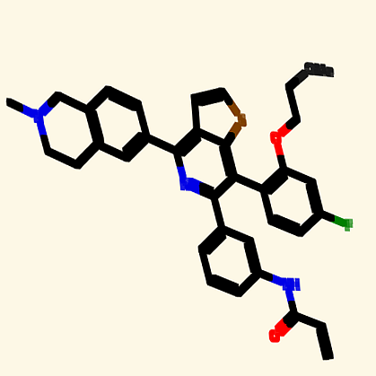 C=CC(=O)Nc1cccc(-c2nc(-c3ccc4c(c3)CCN(C)C4)c3ccsc3c2-c2ccc(F)cc2OCCOC)c1